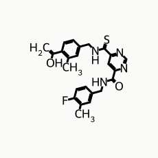 C=C(O)c1ccc(CNC(=S)c2cc(C(=O)NCc3ccc(F)c(C)c3)ncn2)cc1C